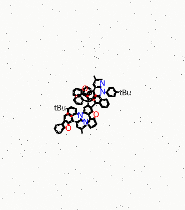 Cc1cnc(N(c2ccc(C(C)(C)C)cc2)c2cc3c(c4ccccc24)-c2c(cc(N(c4ccc(C(C)(C)C)cc4)c4ncc(C)cc4-c4cccc5c4oc4ccccc45)c4c2oc2ccccc24)C3(c2ccccc2)c2ccccc2)c(-c2cccc3c2oc2ccccc23)c1